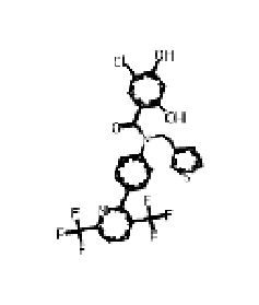 O=C(c1cc(Cl)c(O)cc1O)N(Cc1ccsc1)c1ccc(-c2nc(C(F)(F)F)ccc2C(F)(F)F)cc1